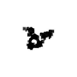 Cc1ccnc(Nc2ccc3cc2CCc2cccc(c2)Nc2ncc(Cl)c(n2)N3)n1.O=C(O)C(F)(F)F.O=C(O)C(F)(F)F